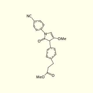 COC(=O)CCc1ccc(C2C(=O)N(c3ccc(C#N)cc3)C=C2OC)cc1